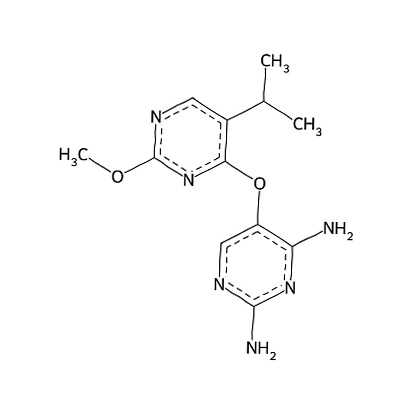 COc1ncc(C(C)C)c(Oc2cnc(N)nc2N)n1